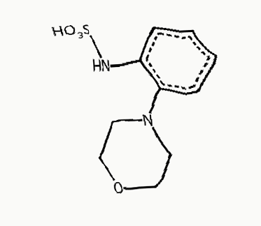 O=S(=O)(O)Nc1ccccc1N1CCOCC1